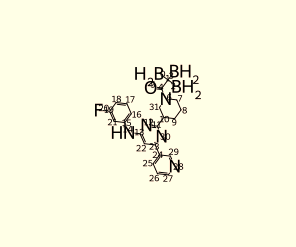 BC(B)(B)C(=O)N1CCCC(c2nc(Nc3cccc(F)c3)cc(-c3cccnc3)n2)C1